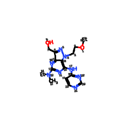 CCOCCn1nc(CO)c2nc(N(C)CC)nc(Nc3ccncn3)c21